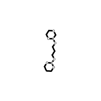 C(COB1COCCO1)COB1OCCCO1